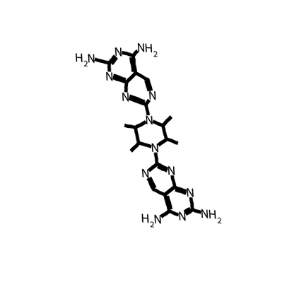 CC1C(C)N(c2ncc3c(N)nc(N)nc3n2)C(C)C(C)N1c1ncc2c(N)nc(N)nc2n1